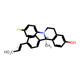 C[C@@]1(c2ccc(/C=C/C(=O)O)cc2)c2ccc(O)cc2CCN1c1ccc(F)cc1